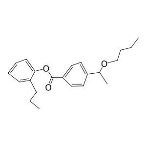 CCCCOC(C)c1ccc(C(=O)Oc2ccccc2CCC)cc1